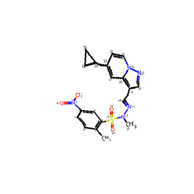 Cc1ccc([N+](=O)[O-])cc1S(=O)(=O)N(C)N=Cc1cnn2ccc(C3CC3)cc12